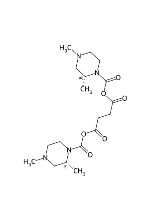 C[C@@H]1CN(C)CCN1C(=O)OC(=O)CCC(=O)OC(=O)N1CCN(C)C[C@H]1C